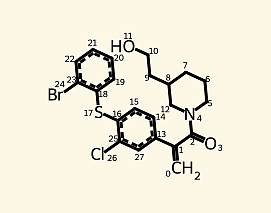 C=C(C(=O)N1CCCC(CCO)C1)c1ccc(Sc2ccccc2Br)c(Cl)c1